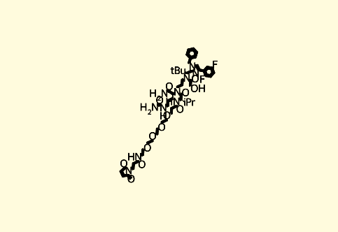 CC(C)[C@H](NC(=O)CCOCCOCCOCCOCCNC(=O)CCN1C(=O)C=CC1=O)C(=O)N(CCCN(C(=O)CO)[C@@H](c1nc(-c2cc(F)ccc2F)cn1Cc1ccccc1)C(C)(C)C)[C@@H](CCCNC(N)=O)C(N)=O